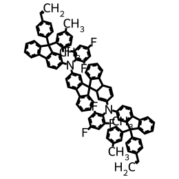 C=Cc1ccc(C2(c3cc(C)ccc3C)c3ccccc3-c3ccc(N(C4=CC5C(C=C4)c4ccccc4C54c5ccccc5-c5ccc(N(c6ccc7c(c6)C(c6ccc(C=C)cc6)(c6cc(C)ccc6C)c6ccccc6-7)c6c(F)cc(F)cc6F)cc54)c4c(F)cc(F)cc4F)cc32)cc1